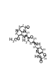 COc1cnc2ccc(=O)n(C[C@H](N)[C@@H]3CC[C@@H](NCc4ccc5c(n4)NC(=O)CO5)CO3)c2c1